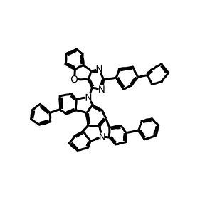 C1=CCCC(c2ccc(-c3nc(-n4c5ccc(-c6ccccc6)cc5c5c6c7ccccc7n7c8ccc(-c9ccccc9)cc8c(cc54)c67)c4oc5ccccc5c4n3)cc2)=C1